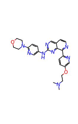 CN(C)CCOc1ccc(-c2nccc3cnc(Nc4ccc(N5CCOCC5)nc4)nc23)nc1